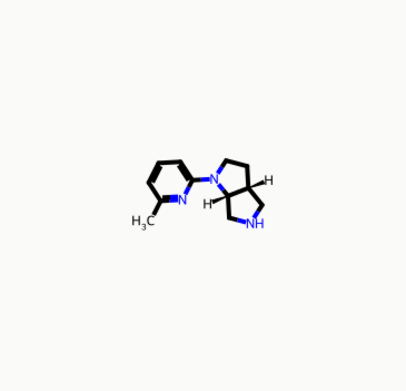 Cc1cccc(N2CC[C@@H]3CNC[C@@H]32)n1